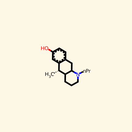 CCCN1CCCC2C1Cc1ccc(O)cc1[C@H]2C